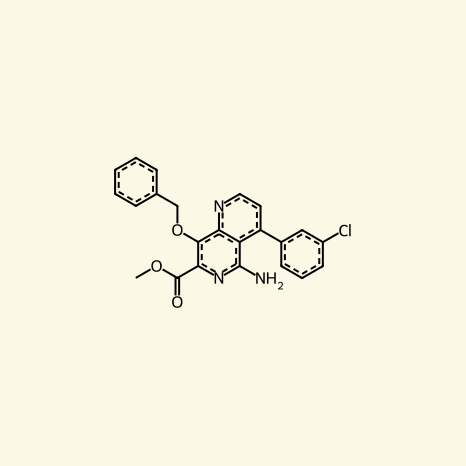 COC(=O)c1nc(N)c2c(-c3cccc(Cl)c3)ccnc2c1OCc1ccccc1